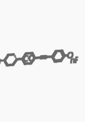 CCCC[C@H]1CC[C@H](C23CCC(C#Cc4ccc(OCCC)cc4)(CC2)CC3)CC1